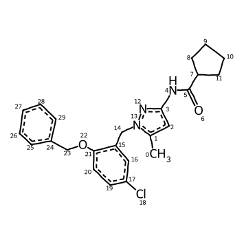 Cc1cc(NC(=O)C2CCCC2)nn1Cc1cc(Cl)ccc1OCc1ccccc1